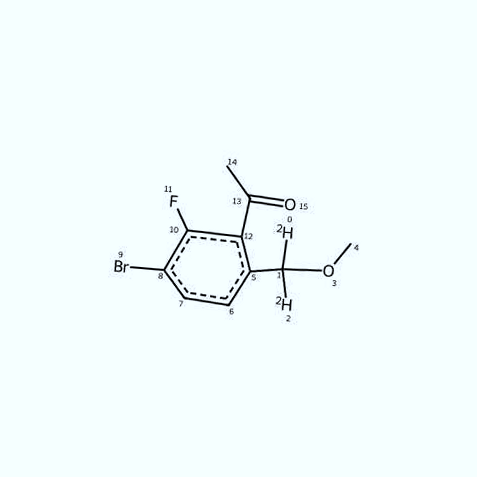 [2H]C([2H])(OC)c1ccc(Br)c(F)c1C(C)=O